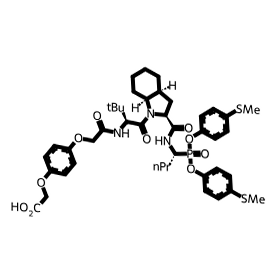 CCC[C@H](NC(=O)[C@@H]1C[C@@H]2CCCC[C@@H]2N1C(=O)[C@@H](NC(=O)COc1ccc(OCC(=O)O)cc1)C(C)(C)C)P(=O)(Oc1ccc(SC)cc1)Oc1ccc(SC)cc1